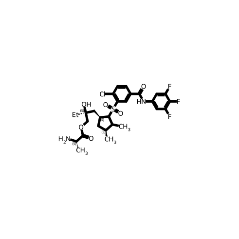 CC[C@@](O)(COC(=O)[C@H](C)N)C[C@@H]1C[C@H](C)C(C)C1S(=O)(=O)c1cc(C(=O)Nc2cc(F)c(F)c(F)c2)ccc1Cl